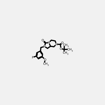 COc1cc(F)cc(CN2CC3CN(C(=O)OC(C)(C)C)CCN3C2=O)c1